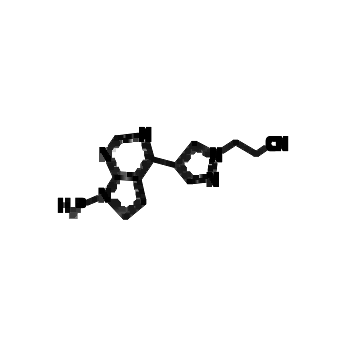 N#CCCn1cc(-c2ncnc3c2ccn3P)cn1